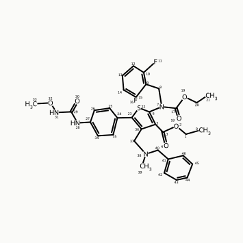 CCOC(=O)c1c(N(Cc2c(F)cccc2F)C(=O)OCC)sc(-c2ccc(NC(=O)NOC)cc2)c1CN(C)Cc1ccccc1